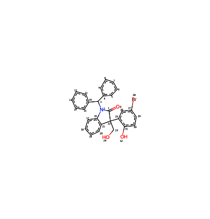 O=C1N(C(c2ccccc2)c2ccccc2)c2ccccc2C1(CO)c1cc(Br)ccc1O